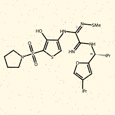 CS/N=C(/Nc1csc(S(=O)(=O)N2CCCC2)c1O)C(=N)N[C@@H](c1cc(C(C)C)co1)C(C)C